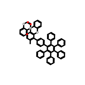 Cc1ccc2c(c1-c1ccc(-c3c(-c4ccccc4)c(-c4ccccc4)c(-c4ccccc4)c(-c4ccccc4)c3-c3ccccc3)cc1)Oc1ccccc1[Si]21c2ccccc2Oc2ccccc21